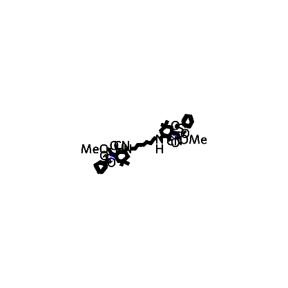 COC(=O)/C(=C1/CC(C)(C)CC(NCCCCCCNC2=C(C#N)/C(=C(\C(=O)OC)S(=O)(=O)c3ccccc3)CC(C)(C)C2)=C1C#N)S(=O)(=O)c1ccccc1